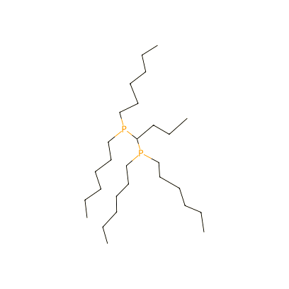 CCCCCCP(CCCCCC)C(CCC)P(CCCCCC)CCCCCC